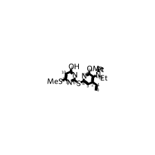 C=Cc1cc(Sc2nc(O)cc(SC)n2)nc(OC)c1N(CC)CC